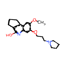 COc1cc2c3c(c(O)nc2cc1OCCCN1CCCC1)CCC3